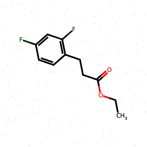 CCOC(=O)CCc1ccc(F)cc1F